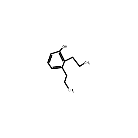 CCCc1cccc(O)c1CCC